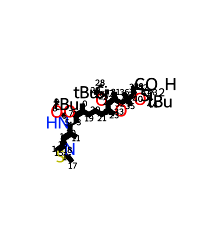 C/C(=C/C[C@H](NC(=O)OC(C)(C)C)/C(C)=C/c1csc(C)n1)CCCC(C)[C@H](O[Si](C)(C)C(C)(C)C)C(C)C(=O)C(C)(C)C(CC(=O)O)O[Si](C)(C)C(C)(C)C